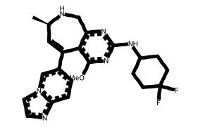 COc1nc(NC2CCC(F)(F)CC2)nc2c1C(c1ccc3nccn3c1)=C[C@@H](C)NC2